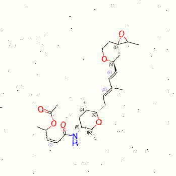 CC(=O)OC(C)/C=C\C(=O)N[C@@H]1C[C@H](C)[C@H](C/C=C(C)/C=C/[C@@H]2C[C@]3(CCO2)OC3C)O[C@@H]1C